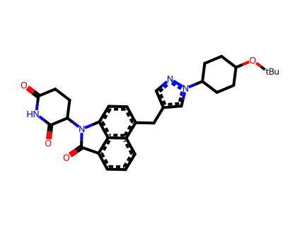 CC(C)(C)OC1CCC(n2cc(Cc3ccc4c5c(cccc35)C(=O)N4C3CCC(=O)NC3=O)cn2)CC1